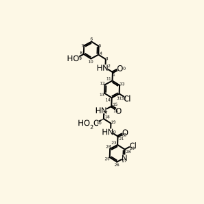 O=C(NCc1cccc(O)c1)c1ccc(C(=O)N[C@@H](CNC(=O)c2cccnc2Cl)C(=O)O)c(Cl)c1